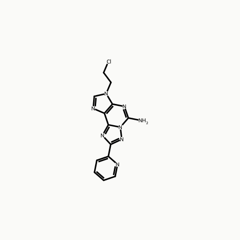 Nc1nc2c(ncn2CCCl)c2nc(-c3ccccn3)nn12